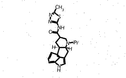 Cc1nnc(NC(=O)C2C[C@@H]3c4cccc5[nH]cc(c45)C[C@H]3N(C(C)C)C2)s1